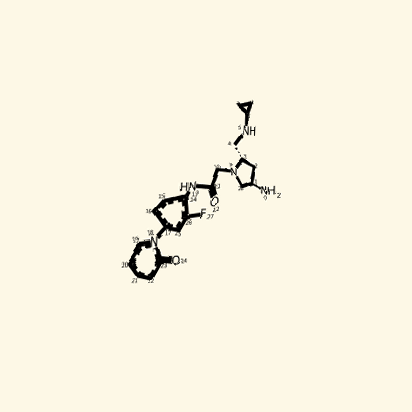 N[C@@H]1C[C@@H](CNC2CC2)N(CC(=O)Nc2ccc(-n3ccccc3=O)cc2F)C1